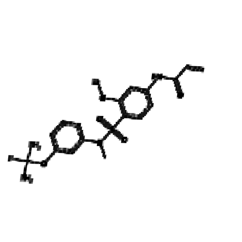 C=CC(=O)Nc1ccc(S(=O)(=O)N(C)c2cccc(OC(F)(P)P)c2)c(OCC)c1